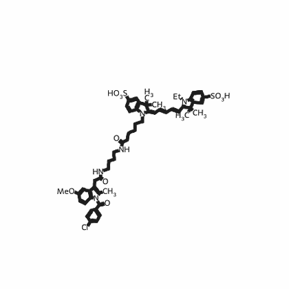 CC[N+]1=C(/C=C/C=C/C=C2/N(CCCCCC(=O)NCCCCNC(=O)Cc3c(C)n(C(=O)c4ccc(Cl)cc4)c4ccc(OC)cc34)c3ccc(S(=O)(=O)O)cc3C2(C)C)C(C)(C)c2cc(S(=O)(=O)O)ccc21